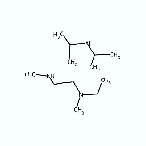 CCN(C)CCNC.C[CH](C)[Al][CH](C)C